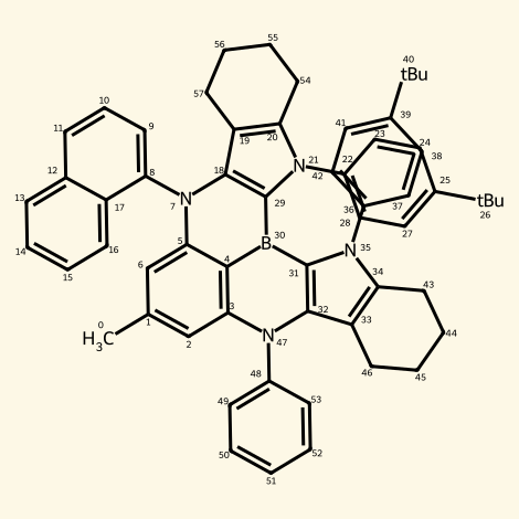 Cc1cc2c3c(c1)N(c1cccc4ccccc14)c1c4c(n(-c5ccc(C(C)(C)C)cc5)c1B3c1c(c3c(n1-c1ccc(C(C)(C)C)cc1)CCCC3)N2c1ccccc1)CCCC4